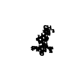 Cn1cc(-c2cc3cccc(-c4nc(C5CC5)n5c4CN(CCF)C(=O)C5)c3cn2)cn1